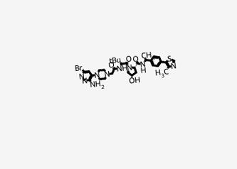 Cc1ncsc1-c1ccc(C(C)NC(=O)[C@@H]2C[C@@H](O)CN2C(=O)C(NC(=O)CN2CCN(c3cc(Br)nnc3N)CC2)C(C)(C)C)cc1